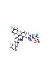 CCC(O)(c1cn(Cc2ccc3c(-c4ccc(F)cc4)cc(NCc4ccccc4)nc3c2)nn1)C(F)(F)F